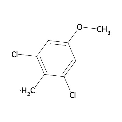 [CH2]c1c(Cl)cc(OC)cc1Cl